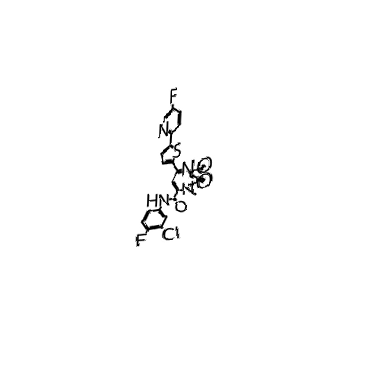 CN1C(C(=O)Nc2ccc(F)c(Cl)c2)=CC(c2ccc(-c3ccc(F)cn3)s2)=NS1(=O)=O